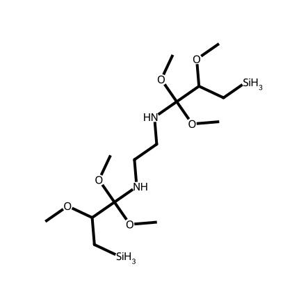 COC(C[SiH3])C(NCCNC(OC)(OC)C(C[SiH3])OC)(OC)OC